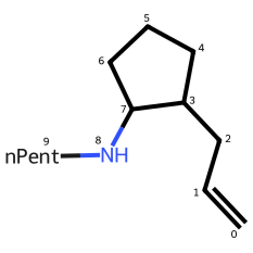 C=CCC1CCCC1NCCCCC